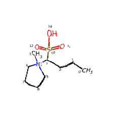 CCCC([N+]1(C)CCCC1)S(=O)(=O)O